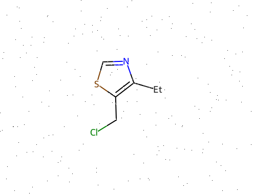 CCc1ncsc1CCl